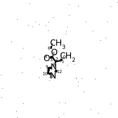 C=CC(C(=O)OCC)n1ccnc1